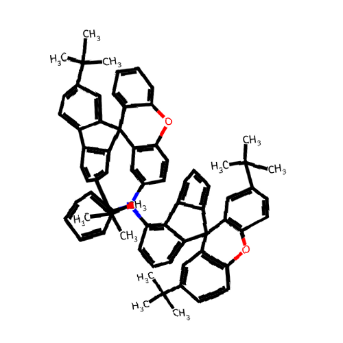 CC(C)(C)c1ccc2c(c1)C1(c3cc(C(C)(C)C)ccc3O2)c2ccccc2-c2c(N(c3ccccc3)c3ccc4c(c3)C3(c5ccccc5O4)c4cc(C(C)(C)C)ccc4-c4ccc(C(C)(C)C)cc43)cccc21